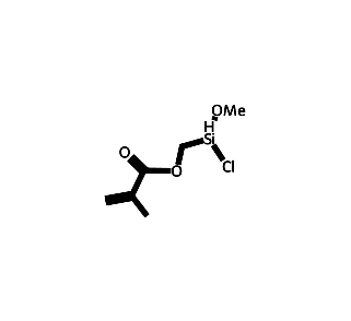 C=C(C)C(=O)OC[SiH](Cl)OC